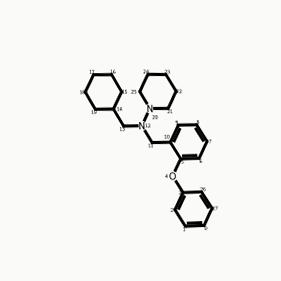 c1ccc(Oc2ccccc2CN(CC2CCCCC2)N2CCCCC2)cc1